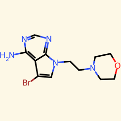 Nc1ncnc2c1c(Br)cn2CCN1CCOCC1